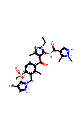 CCn1nc(C)c(C(=O)c2ccc(S(C)(=O)=O)c(Cn3cc(Cl)cn3)c2C)c1OC(=O)c1cnn(C)c1C